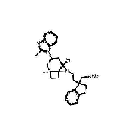 CNCC1(CCN2[C@H]3C[C@H](n4c(C)nc5ccccc54)C[C@@H]4CCC432)CCc2ccccc21